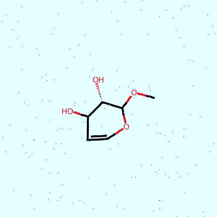 COC1OC=CC(O)[C@@H]1O